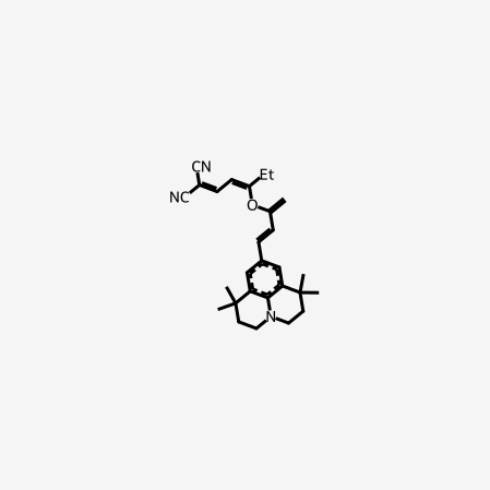 C=C(/C=C/c1cc2c3c(c1)C(C)(C)CCN3CCC2(C)C)O/C(=C\C=C(C#N)C#N)CC